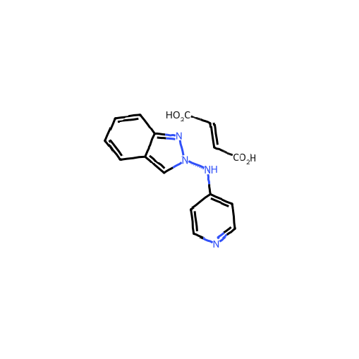 O=C(O)C=CC(=O)O.c1ccc2nn(Nc3ccncc3)cc2c1